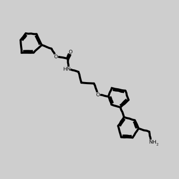 NCc1cccc(-c2cccc(OCCCNC(=O)OCc3ccccc3)c2)c1